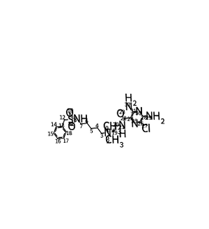 C[N+](C)(CCCCCNS(=O)(=O)Cc1ccccc1)CCNC(=O)c1nc(Cl)c(N)nc1N